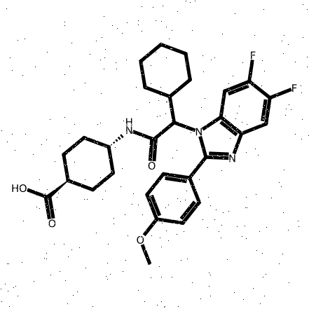 COc1ccc(-c2nc3cc(F)c(F)cc3n2C(C(=O)N[C@H]2CC[C@H](C(=O)O)CC2)C2CCCCC2)cc1